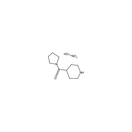 O=C(C1CCNCC1)N1CCCC1.O=[N+]([O-])O